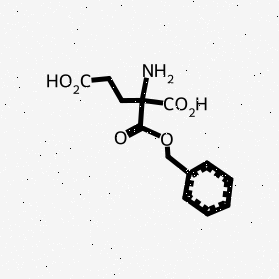 NC(CCC(=O)O)(C(=O)O)C(=O)OCc1ccccc1